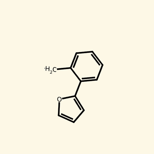 [CH2]c1ccccc1-c1ccco1